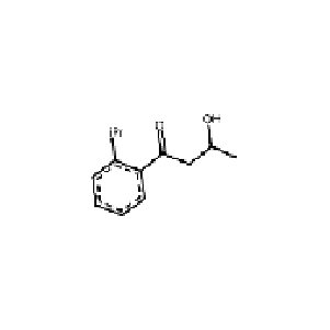 CC(O)CC(=O)c1ccccc1C(C)C